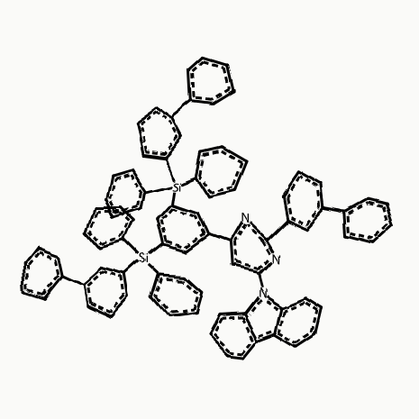 c1ccc(-c2cccc(-c3nc(-c4cc([Si](c5ccccc5)(c5ccccc5)c5cccc(-c6ccccc6)c5)cc([Si](c5ccccc5)(c5ccccc5)c5cccc(-c6ccccc6)c5)c4)cc(-n4c5ccccc5c5ccccc54)n3)c2)cc1